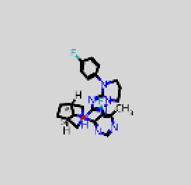 Cc1ncnc(N2C[C@H]3CC[C@@H](C2)C3Nc2nc3n(n2)CCCN3c2ccc(F)cc2)c1F